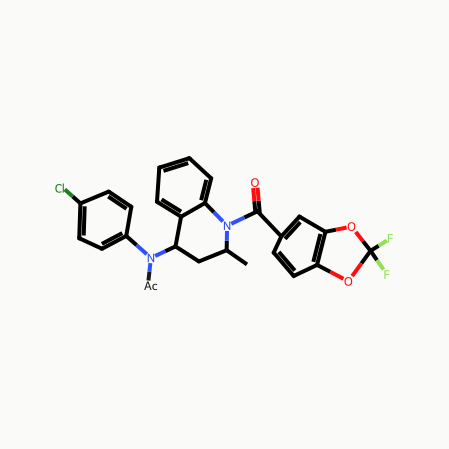 CC(=O)N(c1ccc(Cl)cc1)C1CC(C)N(C(=O)c2ccc3c(c2)OC(F)(F)O3)c2ccccc21